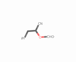 CC(C)CC(C#N)O[C]=O